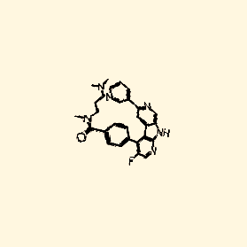 CN(C)CCCN(C)C(=O)c1ccc(-c2c(F)cnc3[nH]c4cnc(-c5cccnc5)cc4c23)cc1